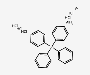 Cl.Cl.Cl.Cl.Cl.[AlH3].[V].c1cc[c]([Sn]([c]2ccccc2)([c]2ccccc2)[c]2ccccc2)cc1